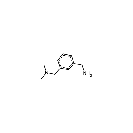 CN(C)Cc1cccc(CN)c1